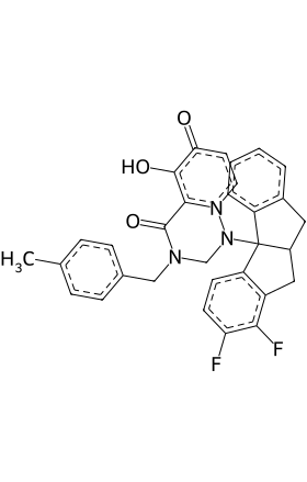 Cc1ccc(CN2CN(C34c5ccccc5CC3Cc3c4ccc(F)c3F)n3ccc(=O)c(O)c3C2=O)cc1